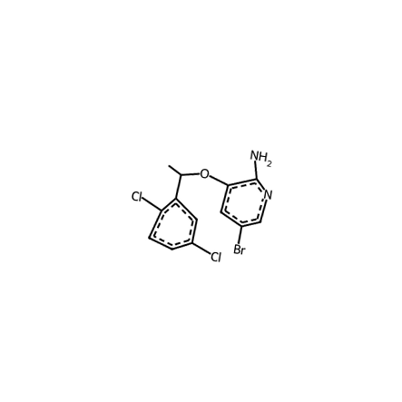 CC(Oc1cc(Br)cnc1N)c1cc(Cl)ccc1Cl